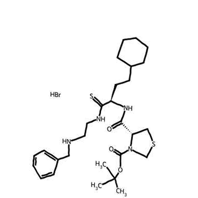 Br.CC(C)(C)OC(=O)N1CSC[C@H]1C(=O)N[C@H](CCC1CCCCC1)C(=S)NCCNCc1ccccc1